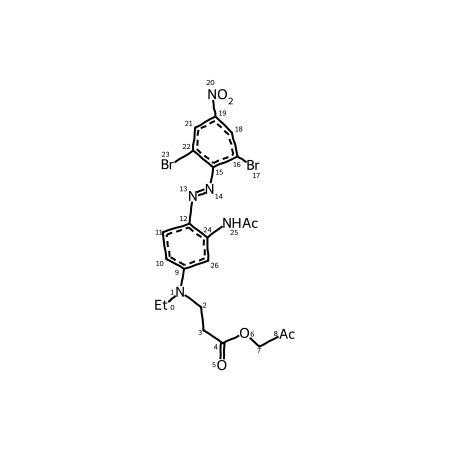 CCN(CCC(=O)OCC(C)=O)c1ccc(N=Nc2c(Br)cc([N+](=O)[O-])cc2Br)c(NC(C)=O)c1